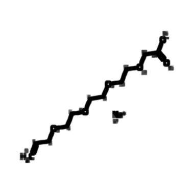 C=CCOCCOCCOCCOCC(=O)[O-].[Na+]